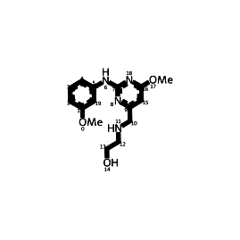 COc1cccc(Nc2nc(CNCCO)cc(OC)n2)c1